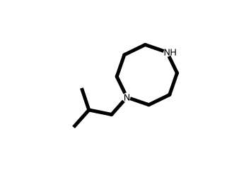 CC(C)CN1CCCNCCC1